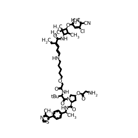 C=C/C(=C\C=C\NCCCCCOCC(=O)NC(C(=O)N1C[C@H](OC(=O)CN)C[C@H]1C(=O)N[C@@H](C)c1ccc(-c2scnc2C)cc1)C(C)(C)C)C(=O)N[C@H]1C(C)[C@H](OC(=C)/C=C(/Cl)C(=C)C#N)C1(C)C